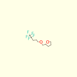 FC(F)(F)C(F)(F)CCCOCC1CCCO1